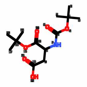 CC(C)(C)OC(=O)NC(CC(=O)O)C(=O)OC(C)(C)C